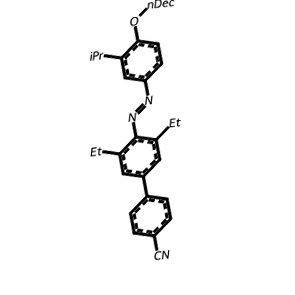 CCCCCCCCCCOc1ccc(/N=N/c2c(CC)cc(-c3ccc(C#N)cc3)cc2CC)cc1C(C)C